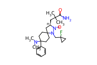 CN(C)C1(c2ccccc2)CCC2(CC1)C[C@@H](CC(C)(C)C(N)=O)[N+](=O)N2CC1(F)CC1